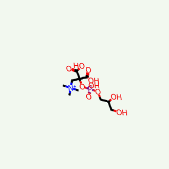 C[N+](C)(C)CC(OP(=O)(O)OCC(O)CO)(C(=O)O)C(=O)O